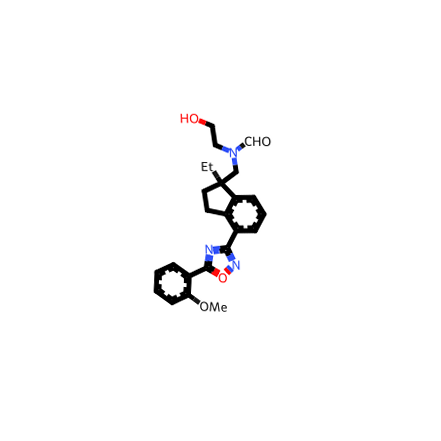 CCC1(CN(C=O)CCO)CCc2c(-c3noc(-c4ccccc4OC)n3)cccc21